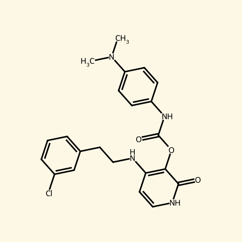 CN(C)c1ccc(NC(=O)Oc2c(NCCc3cccc(Cl)c3)cc[nH]c2=O)cc1